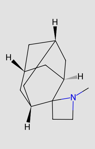 CN1CCC12[C@H]1C[C@H]3C[C@H](C1)C[C@H]2C3